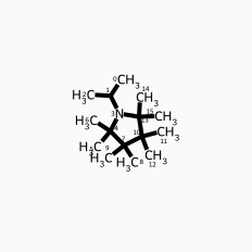 CC(C)N1C(C)(C)C(C)(C)C(C)(C)C1(C)C